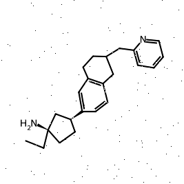 CC[C@@]1(N)CC[C@H](c2ccc3c(c2)CCC(Cc2ccccn2)C3)C1